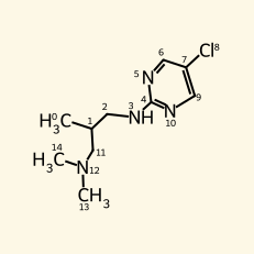 CC(CNc1ncc(Cl)cn1)CN(C)C